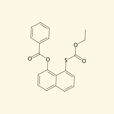 CCOC(=O)Sc1cccc2cccc(OC(=O)c3ccccc3)c12